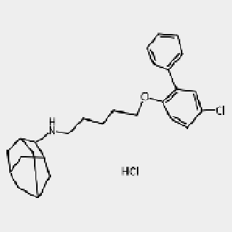 Cl.Clc1ccc(OCCCCCNC2C3CC4CC(C3)CC2C4)c(-c2ccccc2)c1